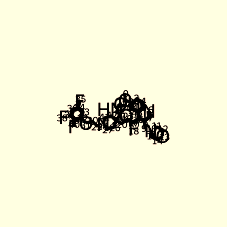 COc1ccc2ncc(CN3CCOCC3)c([C@H](F)CCC3(C(=O)NO)CCN(CCOc4cc(F)cc(F)c4F)CC3)c2c1